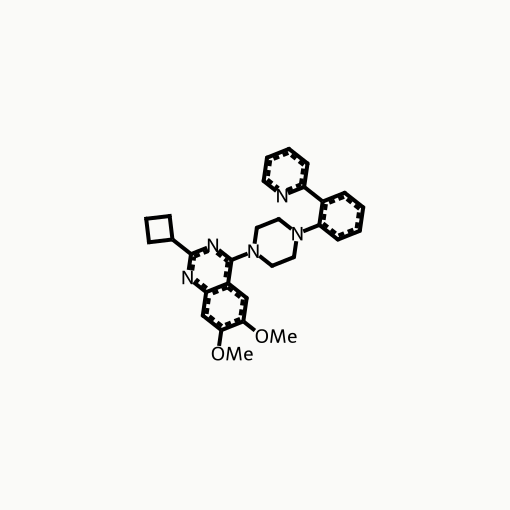 COc1cc2nc(C3CCC3)nc(N3CCN(c4ccccc4-c4ccccn4)CC3)c2cc1OC